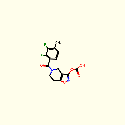 Cc1ccc(C(=O)N2CCc3onc(OC(=O)O)c3C2)c(F)c1F